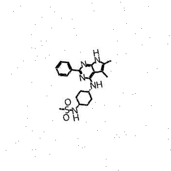 Cc1[nH]c2nc(-c3ccccc3)nc(N[C@H]3CC[C@H](NS(C)(=O)=O)CC3)c2c1C